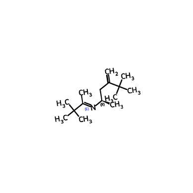 C=C(C[C@@H](C)/N=C(\C)C(C)(C)C)C(C)(C)C